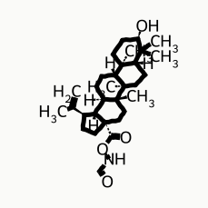 C=C(C)[C@@H]1CC[C@]2(C(=O)ONC=O)CC[C@]3(C)[C@H](CC[C@@H]4[C@@]5(C)CC[C@H](O)C(C)(C)[C@@H]5CC[C@]43C)[C@@H]12